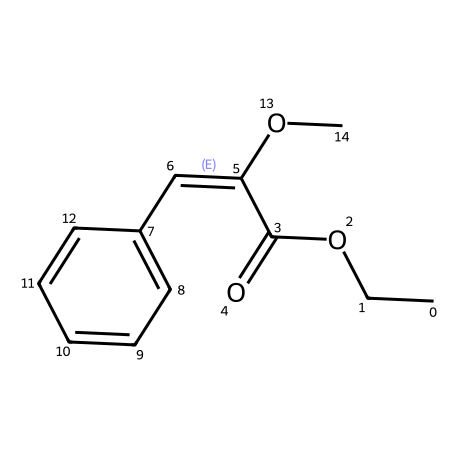 CCOC(=O)/C(=C\c1ccccc1)OC